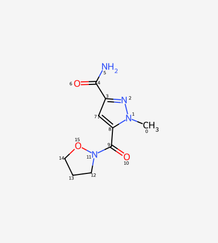 Cn1nc(C(N)=O)[c]c1C(=O)N1CCCO1